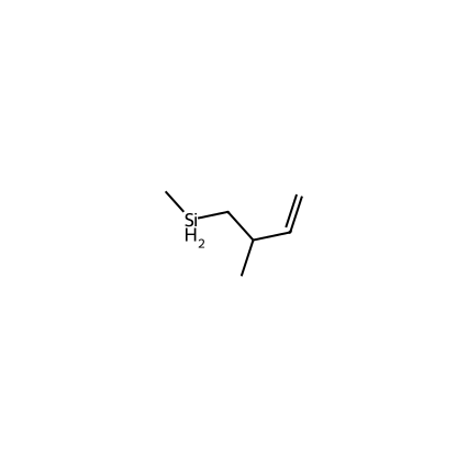 C=CC(C)C[SiH2]C